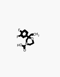 C=CC1(c2ccc(F)c(F)c2)CN(C(=O)O)CCO1